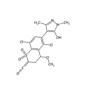 COC1CC(=C=O)S(=O)(=O)c2c(Cl)cc(-c3c(C)nn(C)c3O)c(Cl)c21